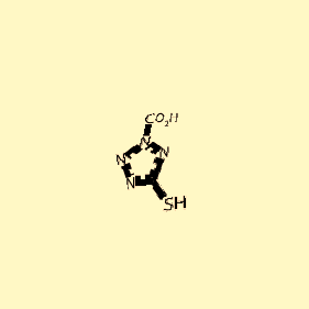 O=C(O)n1nnc(S)n1